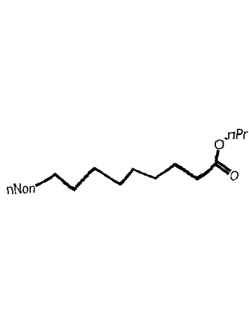 CCCCCCCCCCCCCCCCCC(=O)OCCC